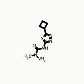 CN(N)C(=O)Nc1nnc(C2CCC2)s1